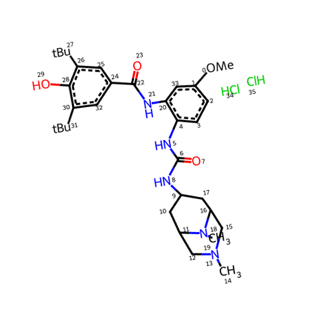 COc1ccc(NC(=O)NC2CC3CN(C)CC(C2)N3C)c(NC(=O)c2cc(C(C)(C)C)c(O)c(C(C)(C)C)c2)c1.Cl.Cl